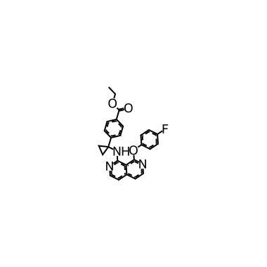 CCOC(=O)c1ccc(C2(Nc3nccc4ccnc(Oc5ccc(F)cc5)c34)CC2)cc1